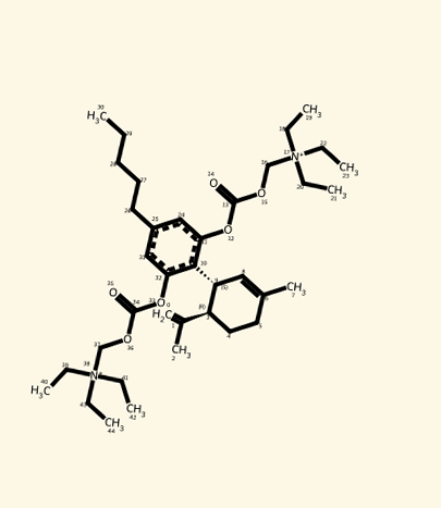 C=C(C)[C@@H]1CCC(C)=C[C@H]1c1c(OC(=O)OC[N+](CC)(CC)CC)cc(CCCCC)cc1OC(=O)OC[N+](CC)(CC)CC